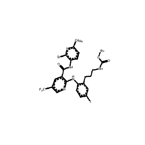 COc1ccc(NC(=O)c2cc(C(F)(F)F)cnc2Nc2ccc(F)cc2CCCNC(=O)OC(C)(C)C)c(Br)n1